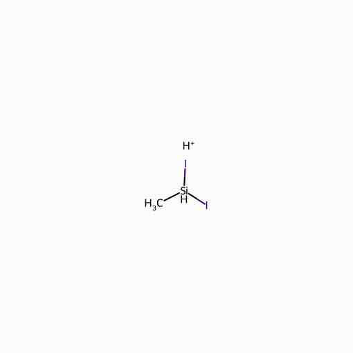 C[SiH](I)I.[H+]